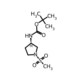 CC(C)(C)OC(=O)N[C@@H]1CCN(S(C)(=O)=O)C1